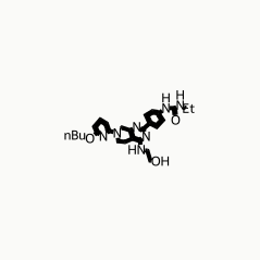 CCCCOc1cccc(N2CCc3c(nc(-c4ccc(NC(=O)NCC)cc4)nc3NCCO)C2)n1